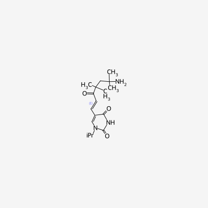 CC(C)n1cc(/C=C/C(=O)C(C)(C)CC(C)(C)N)c(=O)[nH]c1=O